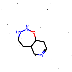 C1=NCC2CCNNOC2C1